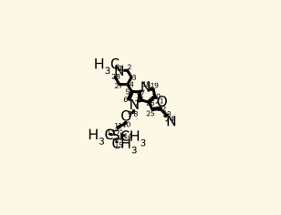 CN1CCC(c2cn(COCC[Si](C)(C)C)c3c2ncc2oc(C#N)cc23)CC1